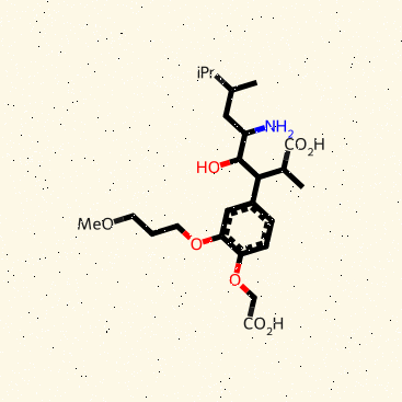 COCCCOc1cc(C(C(C)C(=O)O)C(O)C(N)CC(C)C(C)C)ccc1OCC(=O)O